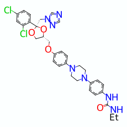 CCNC(=O)Nc1ccc(N2CCN(c3ccc(OC[C@@H]4CO[C@@](Cn5cncn5)(c5ccc(Cl)cc5Cl)O4)cc3)CC2)cc1